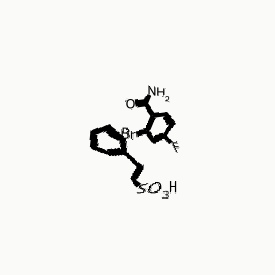 NC(=O)c1ccc(F)cc1Br.O=S(=O)(O)C=Cc1ccccc1